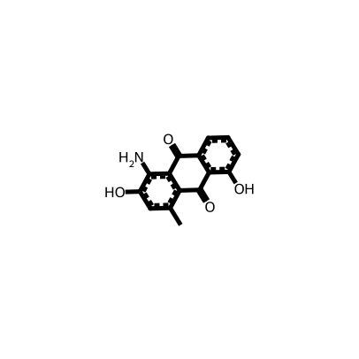 Cc1cc(O)c(N)c2c1C(=O)c1c(O)cccc1C2=O